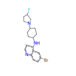 F[C@@H]1CCN(C2CCC(Nc3[c]cnc4ccc(Br)cc34)CC2)C1